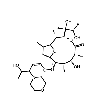 CC[C@@H](O)[C@@](C)(O)[C@@H]1OC(=O)[C@H](C)[C@@H](O)[C@H](C)[C@@H](OO/C=C\C(C(C)O)N2CCOCC2)[C@@]2(C)CC(C)C(O2)[C@@H]1C